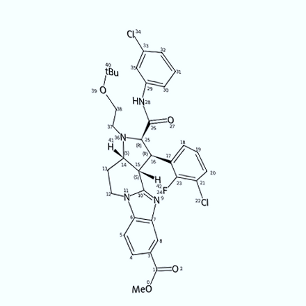 COC(=O)c1ccc2c(c1)nc1n2CC[C@H]2[C@@H]1[C@H](c1cccc(Cl)c1F)[C@H](C(=O)Nc1cccc(Cl)c1)N2CCOC(C)(C)C